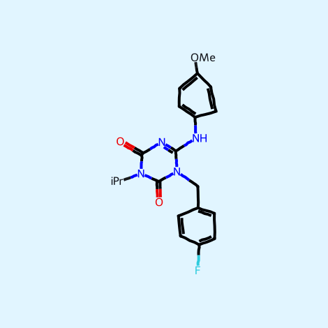 COc1ccc(Nc2nc(=O)n(C(C)C)c(=O)n2Cc2ccc(F)cc2)cc1